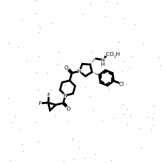 O=C(O)NC[C@H]1CN(C(=O)C2CCN(C(=O)C3CC3(F)F)CC2)C[C@H]1c1ccc(Cl)cc1